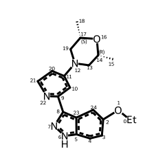 CCOc1ccc2[nH]nc(-c3cc(N4C[C@@H](C)O[C@@H](C)C4)ccn3)c2c1